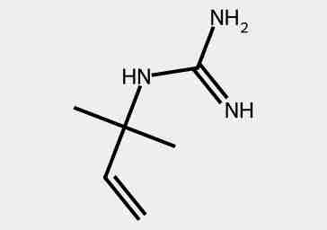 C=CC(C)(C)NC(=N)N